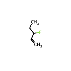 C=CC(F)CC